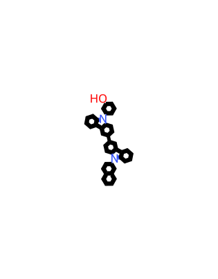 Oc1cccc(-n2c3ccccc3c3cc(-c4ccc5c(c4)c4ccccc4n5-c4ccc5ccccc5c4)ccc32)c1